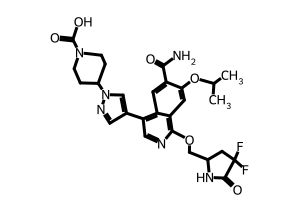 CC(C)Oc1cc2c(OCC3CC(F)(F)C(=O)N3)ncc(-c3cnn(C4CCN(C(=O)O)CC4)c3)c2cc1C(N)=O